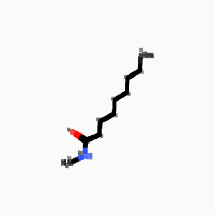 CCCCCCCCCCCCCC(=O)N[SiH3]